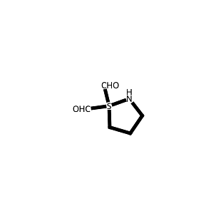 O=CS1(C=O)CCCN1